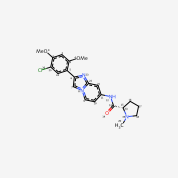 COc1cc(OC)c(-c2cn3ccc(NC(=O)[C@@H]4CCCN4C)cc3n2)cc1Cl